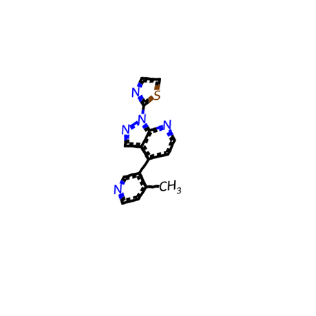 Cc1ccncc1-c1ccnc2c1cnn2-c1nccs1